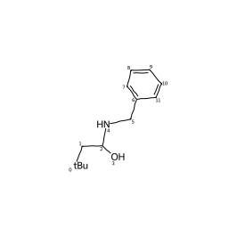 CC(C)(C)CC(O)NCc1ccccc1